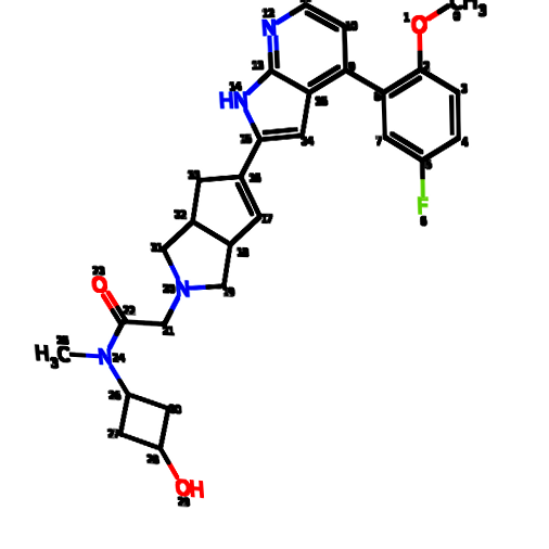 COc1ccc(F)cc1-c1ccnc2[nH]c(C3=CC4CN(CC(=O)N(C)C5CC(O)C5)CC4C3)cc12